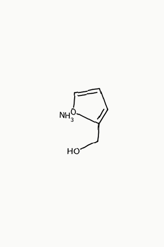 N.OCc1ccco1